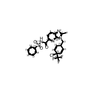 Cc1nc2ccc(C(=O)NS(=O)(=O)c3ccccc3)nc2n1CC1C=CC(Cl)(C(F)(F)F)C=C1